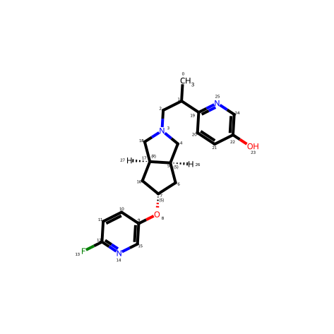 CC(CN1C[C@H]2C[C@H](Oc3ccc(F)nc3)C[C@H]2C1)c1ccc(O)cn1